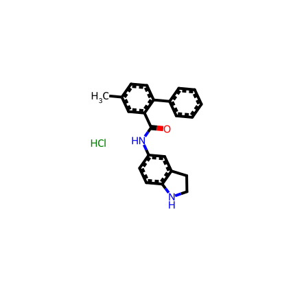 Cc1ccc(-c2ccccc2)c(C(=O)Nc2ccc3c(c2)CCN3)c1.Cl